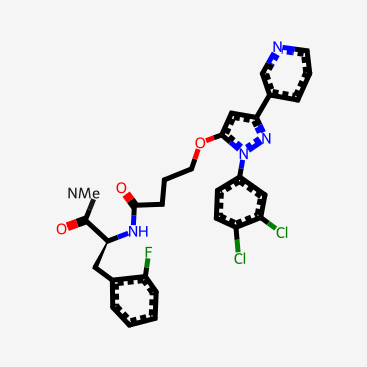 CNC(=O)[C@H](Cc1ccccc1F)NC(=O)CCCOc1cc(-c2cccnc2)nn1-c1ccc(Cl)c(Cl)c1